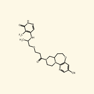 CC(COCCC(=O)N1CCN2c3ncc(C#N)cc3OCCC2C1)Nc1cn[nH]c(=O)c1C(F)(F)F